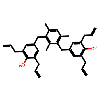 C=CCc1cc(Cc2c(C)cc(C)c(Cc3cc(CC=C)c(O)c(CC=C)c3)c2C)cc(CC=C)c1O